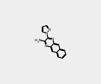 Nc1nc2cc3ccccc3cc2nc1-n1cccn1